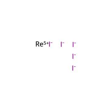 [I-].[I-].[I-].[I-].[I-].[Re+5]